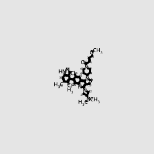 COC/C=C/C(=O)N1CCC(n2ncc3c(N4CC(N(C)C)C4)nc4c(F)c(-c5c(C)c(C)cc6[nH]ncc56)c(Cl)cc4c32)CC1